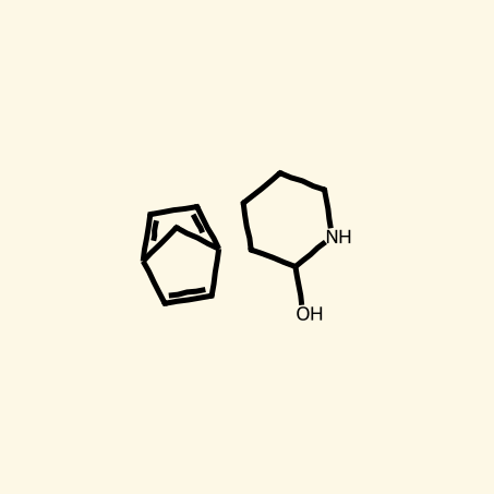 C1=CC2=CC=C1C2.OC1CCCCN1